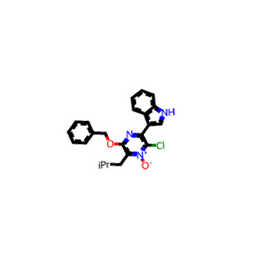 CC(C)Cc1c(OCc2ccccc2)nc(-c2c[nH]c3ccccc23)c(Cl)[n+]1[O-]